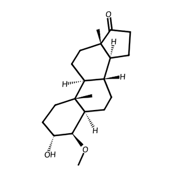 CO[C@H]1[C@H](O)CC[C@]2(C)[C@H]3CC[C@]4(C)C(=O)CC[C@H]4[C@@H]3CC[C@@H]12